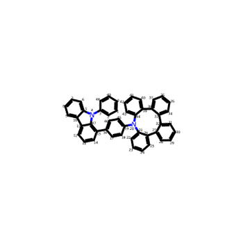 c1ccc(-n2c3ccccc3c3cccc(-c4ccc(-n5c6ccccc6c6ccccc6c6ccccc6c6ccccc65)cc4)c32)cc1